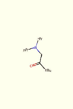 CCCN(CCC)CC(=O)C(C)(C)C